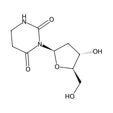 O=C1CCNC(=O)N1[C@H]1C[C@H](O)[C@@H](CO)O1